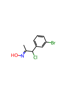 C/C(=N\O)C(Cl)c1cccc(Br)c1